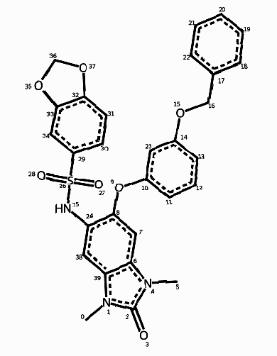 Cn1c(=O)n(C)c2cc(Oc3cccc(OCc4ccccc4)c3)c(NS(=O)(=O)c3ccc4c(c3)OCO4)cc21